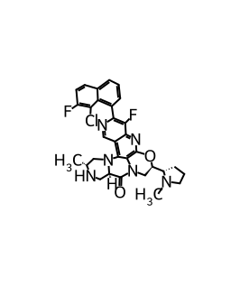 C[C@@H]1CN2c3c4c(nc5c(F)c(-c6cccc7ccc(F)c(Cl)c67)ncc35)O[C@@H]([C@@H]3CCCN3C)CN4C(=O)[C@H]2CN1